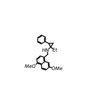 CCC1(NCc2ccc(OC)c3ccc(OC)cc23)CC1c1ccccc1